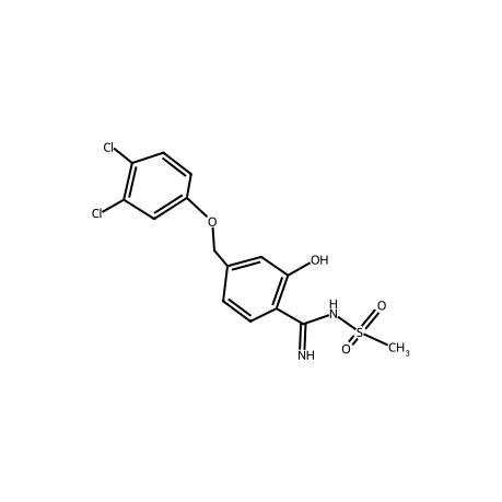 CS(=O)(=O)NC(=N)c1ccc(COc2ccc(Cl)c(Cl)c2)cc1O